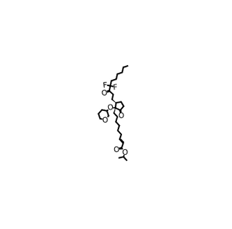 CCCCCCC(F)(F)C(=O)CC[C@H]1CCC(=O)[C@]1(CCCCCCC=CC(=O)OC(C)C)OC1CCCOC1